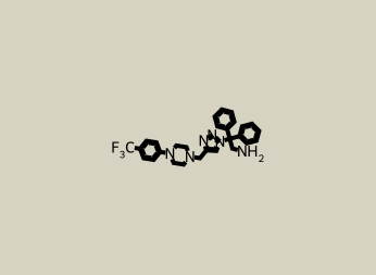 NCC(c1ccccc1)(c1ccccc1)n1cc(CN2CCN(c3ccc(C(F)(F)F)cc3)CC2)nn1